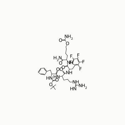 CC(C)(C)OC(=O)NC(Cc1ccccc1)C(=O)NC(CCCNC(=N)N)C(=O)NC(Cc1c(F)c(F)c(F)c(F)c1F)C(=O)NC(CCCCOC(N)=O)C(N)=O